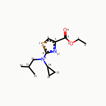 CCOC(=O)c1csc(N(CC(C)C)C2CC2)n1